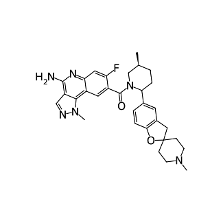 C[C@H]1CCC(c2ccc3c(c2)CC2(CCN(C)CC2)O3)N(C(=O)c2cc3c(cc2F)nc(N)c2cnn(C)c23)C1